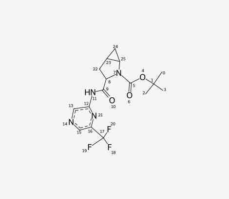 CC(C)(C)OC(=O)N1C(C(=O)Nc2cncc(C(F)(F)F)n2)CC2CC21